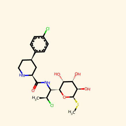 CS[C@H]1O[C@H](C(NC(=O)[C@@H]2C[C@H](c3ccc(Cl)cc3)CCN2)[C@H](C)Cl)[C@H](O)[C@H](O)[C@H]1O